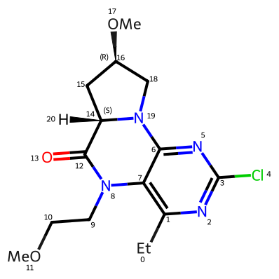 CCc1nc(Cl)nc2c1N(CCOC)C(=O)[C@@H]1C[C@@H](OC)CN21